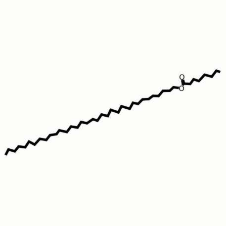 CCCCCCCCCCCCCCCCCCCCCCCCCCCCCCCCCCOC(=O)CCCCCCC